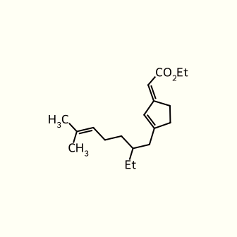 CCOC(=O)/C=C1/C=C(CC(CC)CCC=C(C)C)CC1